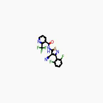 N#Cc1c(-c2c(F)cccc2F)nsc1NC(=O)c1cccnc1C(F)(F)F